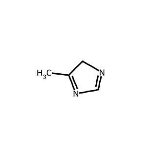 CC1=NC=NC1